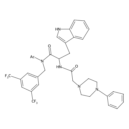 CC(=O)N(Cc1cc(C(F)(F)F)cc(C(F)(F)F)c1)C(=O)C(Cc1c[nH]c2ccccc12)NC(=O)CN1CCN(c2ccccc2)CC1